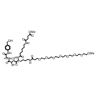 COCCOCCOCCOCCOCCOCCOCCOCCC(=O)NCCCC[C@H](NC(=O)CCCCCNC(=O)CCC(=O)OC)C(=O)NC(C(=O)N[C@@H](C)C(=O)Nc1ccc(CO)cc1)C(C)C